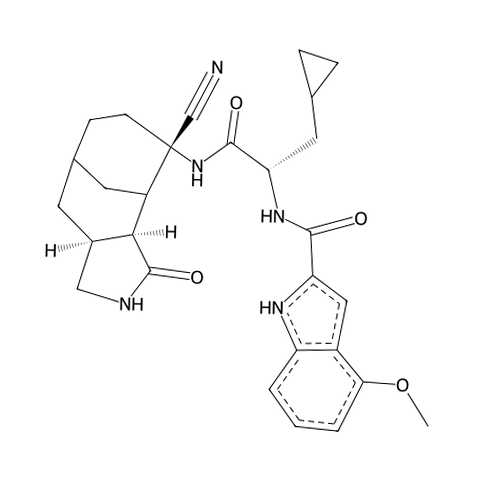 COc1cccc2[nH]c(C(=O)N[C@@H](CC3CC3)C(=O)N[C@@]3(C#N)CCC4CC3[C@H]3C(=O)NC[C@H]3C4)cc12